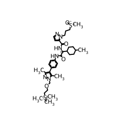 Cc1nn(COCC[Si](C)(C)C)c(C)c1-c1ccc(NC(=O)[C@@H](NC(=O)c2ccnn2CCC[S+](C)[O-])C2CCC(C)CC2)cc1